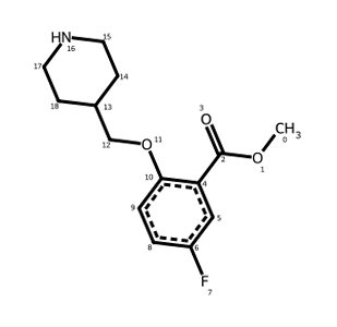 COC(=O)c1cc(F)ccc1OCC1CCNCC1